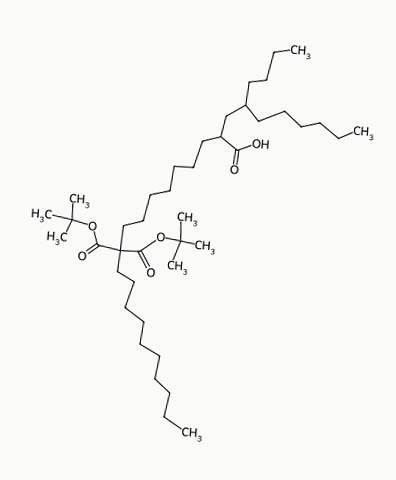 CCCCCCCCCCC(CCCCCCCC(CC(CCCC)CCCCCC)C(=O)O)(C(=O)OC(C)(C)C)C(=O)OC(C)(C)C